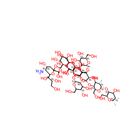 CC1C(O)[C@H](OC2OC(CO[C@]3(C(=O)O)C[C@@H](O)[C@@H](N)C([C@H](O)[C@H](O)CO)O3)[C@H](O)[C@H](O)C2O)[C@H](CO)O[C@H]1O[C@@H]1C(O)[C@H](O)C(CO)O[C@@H]1OCC1O[C@@H](O[C@@H]2C(CO)O[C@@H](O[C@@H]3C(CO)O[C@@H](C)[C@@H](C)C3O)[C@@H](C)C2O)[C@H](O)C(O[C@H]2O[C@H](CO)[C@@H](O)C(O)C2O[C@@H]2OC(CO)[C@@H](O)C(O)[C@@H]2C)[C@@H]1O